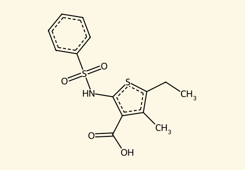 CCc1sc(NS(=O)(=O)c2ccccc2)c(C(=O)O)c1C